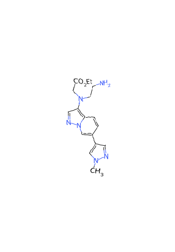 CCOC(=O)CN(CCN)c1cnn2cc(-c3cnn(C)c3)ccc12